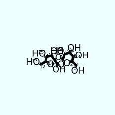 OCC1OC(O)(OC2(CO)OC(CO)C(O)C2O)C(O)C(O)C1O